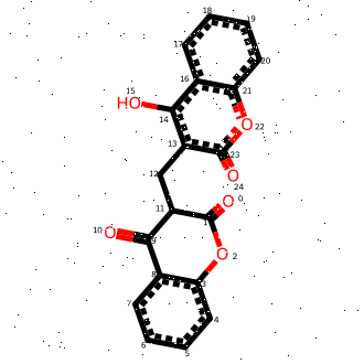 O=C1Oc2ccccc2C(=O)C1Cc1c(O)c2ccccc2oc1=O